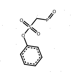 O=PCS(=O)(=O)Oc1ccccc1